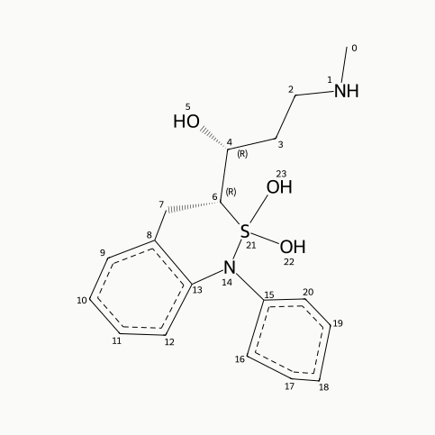 CNCC[C@@H](O)[C@H]1Cc2ccccc2N(c2ccccc2)S1(O)O